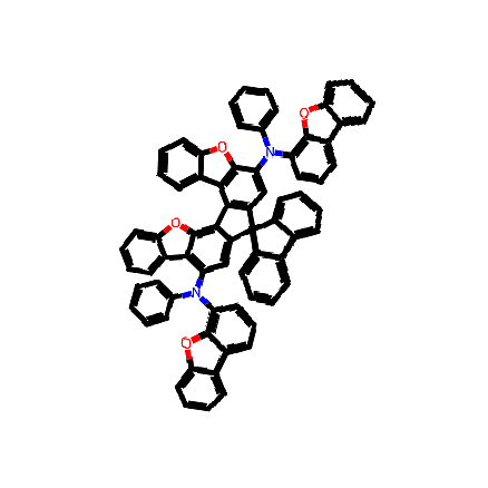 c1ccc(N(c2cccc3c2oc2ccccc23)c2cc3c(c4c2oc2ccccc24)-c2c(cc(N(c4ccccc4)c4cccc5c4oc4ccccc45)c4c2oc2ccccc24)C32c3ccccc3-c3ccccc32)cc1